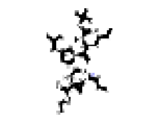 C=C([C@H](CCCC)NC(=O)OC(C)(C)C)N1C[C@H](CC(C)C)C[C@H]1C(=O)N[C@]1(C(=O)OCC)C[C@H]1/C=C\CC